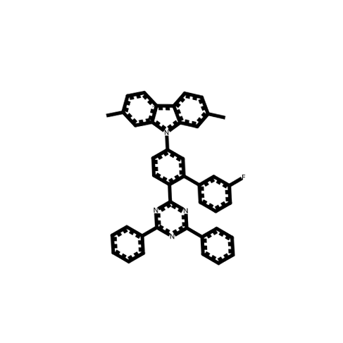 Cc1ccc2c3ccc(C)cc3n(-c3ccc(-c4nc(-c5ccccc5)nc(-c5ccccc5)n4)c(-c4cccc(F)c4)c3)c2c1